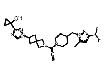 C=C=C(N1CCC(Cn2nc(C(F)F)cc2C)CC1)N1CC2(CC(n3cnc(C4(O)CC4)n3)C2)C1